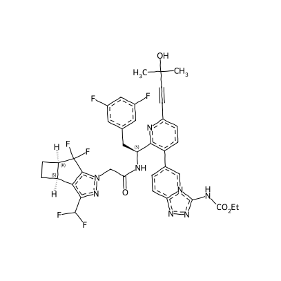 CCOC(=O)Nc1nnc2ccc(-c3ccc(C#CC(C)(C)O)nc3[C@H](Cc3cc(F)cc(F)c3)NC(=O)Cn3nc(C(F)F)c4c3C(F)(F)[C@@H]3CC[C@H]43)cn12